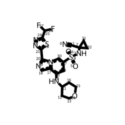 N#CC1(NS(=O)(=O)c2cc(NC3CCOCC3)c3cnc(-c4nnc(C(F)F)s4)n3c2)CC1